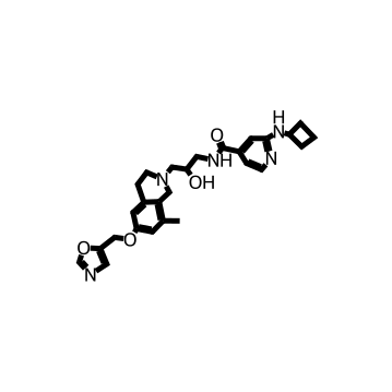 Cc1cc(OCc2cnco2)cc2c1CN(CC(O)CNC(=O)c1ccnc(NC3CCC3)c1)CC2